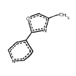 Cc1coc(-c2ccncc2)n1